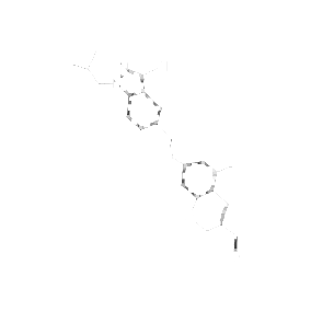 CC(C)Cn1nc(Cl)c2cc(COc3cc(F)c4c(c3)OCC(C=O)=C4)ccc21